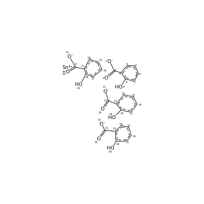 O=C([O-])c1ccccc1O.O=C([O-])c1ccccc1O.O=C([O-])c1ccccc1O.O=C([O-])c1ccccc1O.[Sn+4]